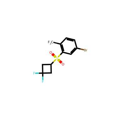 O=S(=O)(c1cc(Br)ccc1C(F)(F)F)C1CC(F)(F)C1